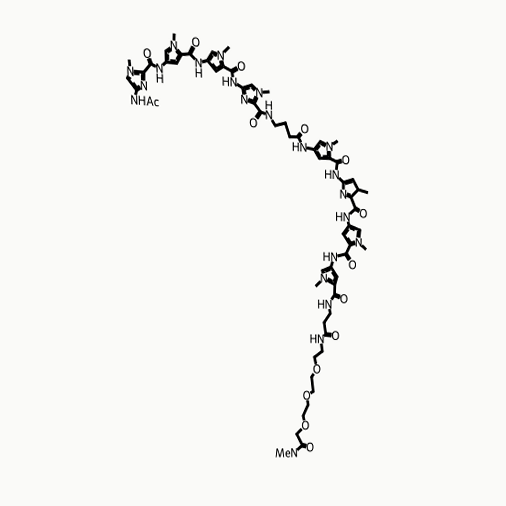 CNC(=O)COCCOCCOCCNC(=O)CCNC(=O)c1cc(NC(=O)c2cc(NC(=O)C3=NC(NC(=O)c4cc(NC(=O)CCCNC(=O)c5nc(NC(=O)c6cc(NC(=O)c7cc(NC(=O)c8nc(NC(C)=O)cn8C)cn7C)cn6C)cn5C)cn4C)=CC3C)cn2C)cn1C